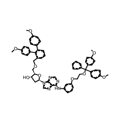 COc1ccc(-c2cccc(COC[C@H]3O[C@@H](n4cnc5c(Nc6cccc(OCCOC(c7ccccc7)(c7ccc(OC)cc7)c7ccc(OC)cc7)c6)ncnc54)C[C@@H]3O)c2-c2ccc(OC)cc2)cc1